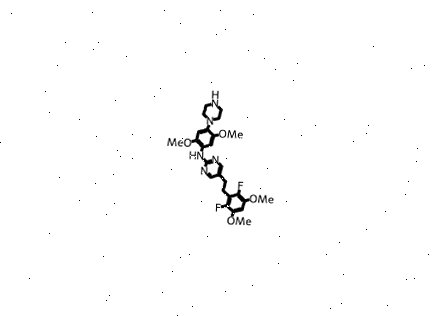 COc1cc(N2CCNCC2)c(OC)cc1Nc1ncc(CCc2c(F)c(OC)cc(OC)c2F)cn1